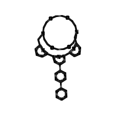 c1ccc(-c2ccc(-c3cc4nc(c3)-c3cccc(n3)CN3CCOCCOCCN(CCOCCOCC3)Cc3cccc-4n3)cc2)cc1